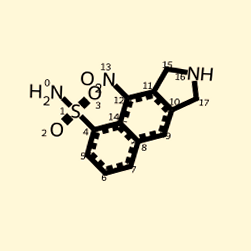 NS(=O)(=O)c1cccc2cc3c(c([N+](=O)[O-])c12)CNC3